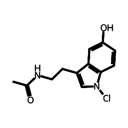 CC(=O)NCCc1cn(Cl)c2ccc(O)cc12